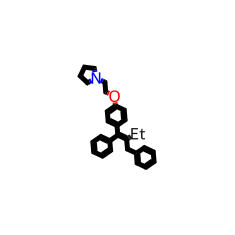 CCC(Cc1ccccc1)=C(c1ccccc1)c1ccc(OCCN2CCCC2)cc1